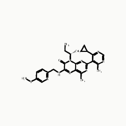 CC[C@H](C)n1c(=O)c(NCc2ccc(SN)cn2)nc2c(C)nc(-c3c(C)ncnc3C3CC3)nc21